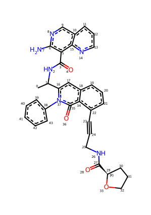 CC(NC(=O)c1c(N)ncc2cccnc12)c1cc2cccc(C#CCNC(=O)[C@H]3CCCO3)c2c(=O)n1-c1ccccc1